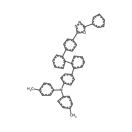 Cc1ccc(N(c2ccc(C)cc2)c2ccc(-c3ccccc3-c3ccccc3-c3ccc(-c4nnc(-c5ccccc5)o4)cc3)cc2)cc1